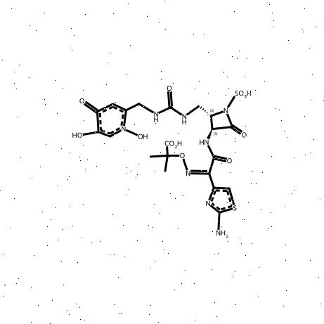 CC(C)(ON=C(C(=O)N[C@@H]1C(=O)N(S(=O)(=O)O)[C@H]1CNC(=O)NCc1cc(=O)c(O)cn1O)c1csc(N)n1)C(=O)O